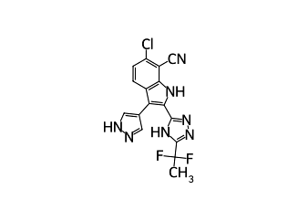 CC(F)(F)c1nnc(-c2[nH]c3c(C#N)c(Cl)ccc3c2-c2cn[nH]c2)[nH]1